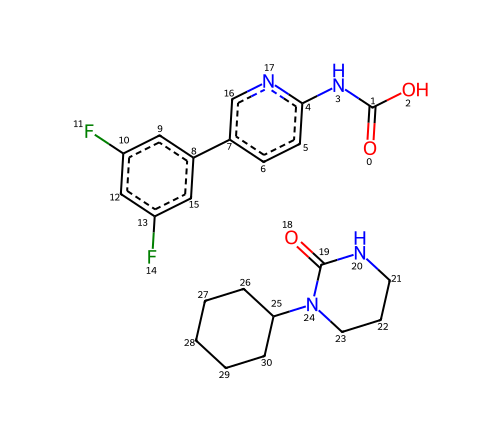 O=C(O)Nc1ccc(-c2cc(F)cc(F)c2)cn1.O=C1NCCCN1C1CCCCC1